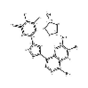 CCc1nc2c(N)ncc(-c3cnn(-c4cc(C)n(C)c(=O)c4)c3)c2nc1N[C@@H]1CC[C@H](O)C1